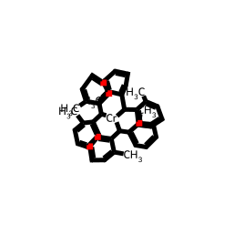 Cc1ccccc1[CH](c1ccccc1C)[Cr]([CH](c1ccccc1C)c1ccccc1C)[CH](c1ccccc1C)c1ccccc1C